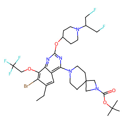 CCc1cc2c(N3CCC4(CC3)CN(C(=O)OC(C)(C)C)C4)nc(OC3CCN(C(CF)CF)CC3)nc2c(OCC(F)(F)F)c1Br